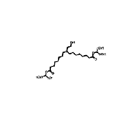 CCCCCCCCC(CCC)OC(=O)CCCCCCCN(CCO)CCCCCCCC(=O)OC(CCCCCCCC)CCCCCCCC